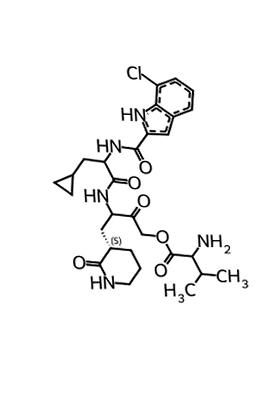 CC(C)C(N)C(=O)OCC(=O)C(C[C@@H]1CCCNC1=O)NC(=O)C(CC1CC1)NC(=O)c1cc2cccc(Cl)c2[nH]1